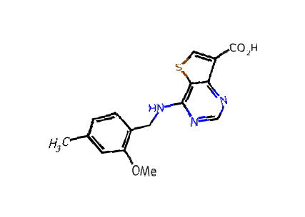 COc1cc(C)ccc1CNc1ncnc2c(C(=O)O)csc12